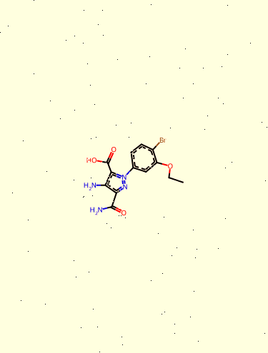 CCOc1cc(-n2nc(C(N)=O)c(N)c2C(=O)O)ccc1Br